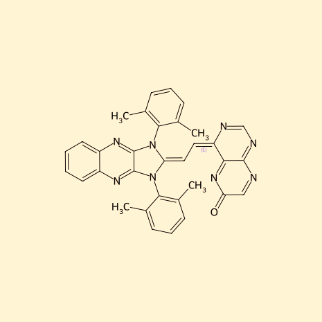 Cc1cccc(C)c1N1C(=C/C=c2/ncnc3c2=NC(=O)C=N3)N(c2c(C)cccc2C)c2nc3ccccc3nc21